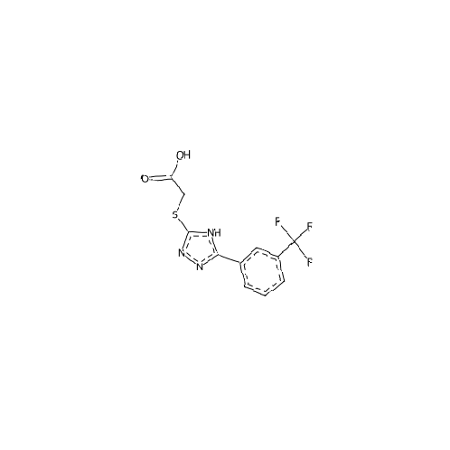 O=C(O)CSc1nnc(-c2cccc(C(F)(F)F)c2)[nH]1